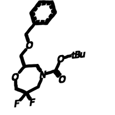 CC(C)(C)OC(=O)N1CC(COCc2ccccc2)OCC(F)(F)C1